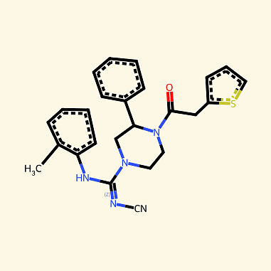 Cc1ccccc1N/C(=N/C#N)N1CCN(C(=O)Cc2cccs2)C(c2ccccc2)C1